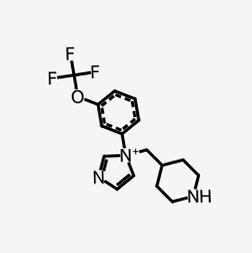 FC(F)(F)Oc1cccc([N+]2(CC3CCNCC3)C=CN=C2)c1